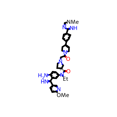 CCN(C(=O)[C@@H]1CCN(CC(=O)N2CC=C(c3ccc(C(=N)/N=C\NC)cc3)CC2)C1)c1ccc(N)c(C(=N)c2ccc(OC)nc2)c1